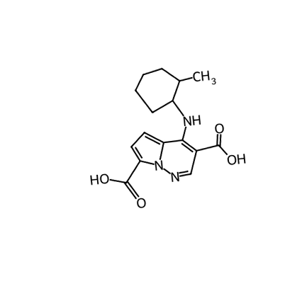 CC1CCCCC1Nc1c(C(=O)O)cnn2c(C(=O)O)ccc12